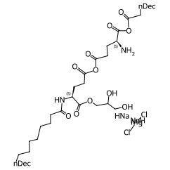 CCCCCCCCCCCCCCCCCC(=O)N[C@@H](CCC(=O)OC(=O)CC[C@H](N)C(=O)OC(=O)CCCCCCCCCCC)C(=O)OCC(O)CO.[Cl][Mg][Cl].[NaH].[NaH]